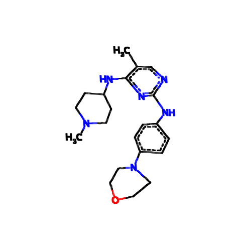 Cc1cnc(Nc2ccc(N3CCOCC3)cc2)nc1NC1CCN(C)CC1